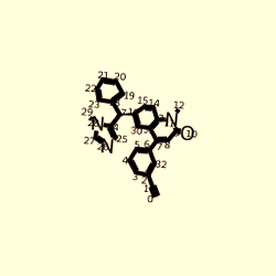 C#Cc1cccc(-c2cc(=O)n(C)c3ccc([C@H](c4ccccc4)c4cncn4C)cc23)c1